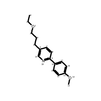 CCOCCCc1ccc(-c2ccc(OC)cc2)nc1